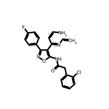 C=C/N=C(\C=C/N)c1c(-c2ccc(F)cc2)noc1NC(=O)Cc1ccccc1Cl